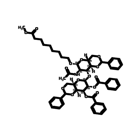 COC(=O)CCCCCCCCO[C@@H]1O[C@@H]2COC(c3ccccc3)O[C@H]2[C@H](O[C@@H]2O[C@@H]3COC(c4ccccc4)O[C@@H]3[C@H](OC(=O)c3ccccc3)[C@H]2OC(=O)c2ccccc2)[C@H]1NC(C)=O